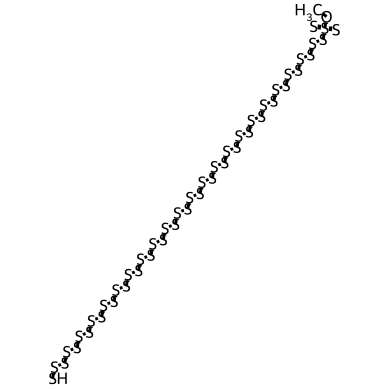 COS(=S)(=S)SSSSSSSSSSSSSSSSSSSSSSSSSSSSSSSSSSSSSSSSSSSSS